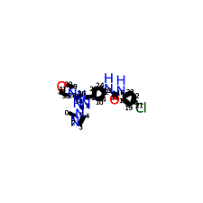 Cc1nccn1-c1nc(-c2ccc(NC(=O)Nc3ccc(Cl)cc3)cc2)nc(N2CCOCC2)n1